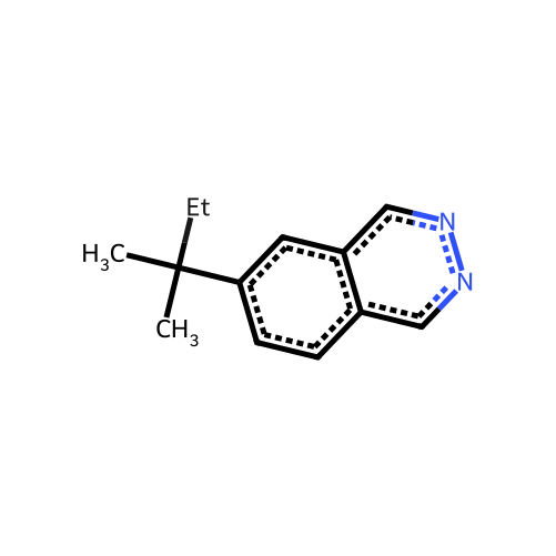 CCC(C)(C)c1ccc2cnncc2c1